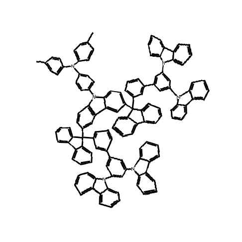 Cc1ccc(N(c2ccc(C)cc2)c2ccc(-n3c4ccc(C5(c6cccc(-c7cc(-n8c9ccccc9c9ccccc98)cc(-n8c9ccccc9c9ccccc98)c7)c6)c6ccccc6-c6ccccc65)cc4c4cc(C5(c6cccc(-c7cc(-n8c9ccccc9c9ccccc98)cc(-n8c9ccccc9c9ccccc98)c7)c6)c6ccccc6-c6ccccc65)ccc43)cc2)cc1